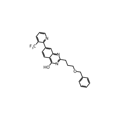 Oc1nc(CCCOCc2ccccc2)nc2cc(-c3ncccc3C(F)(F)F)ccc12